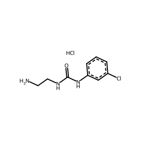 Cl.NCCNC(=O)Nc1cccc(Cl)c1